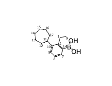 CCc1c(B(O)O)cccc1C1CCCCCC1